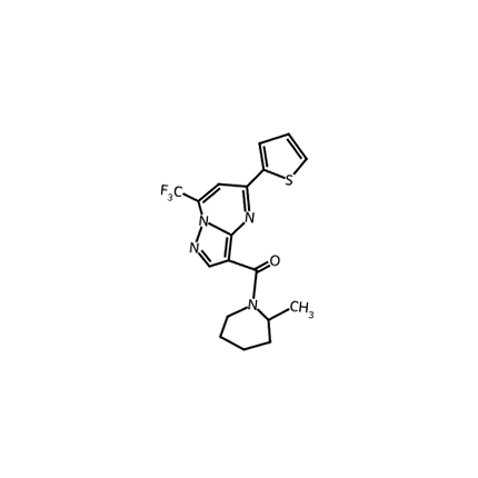 CC1CCCCN1C(=O)c1cnn2c(C(F)(F)F)cc(-c3cccs3)nc12